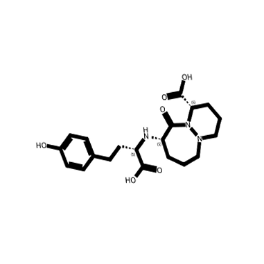 O=C(O)[C@H](CCc1ccc(O)cc1)N[C@H]1CCCN2CCC[C@@H](C(=O)O)N2C1=O